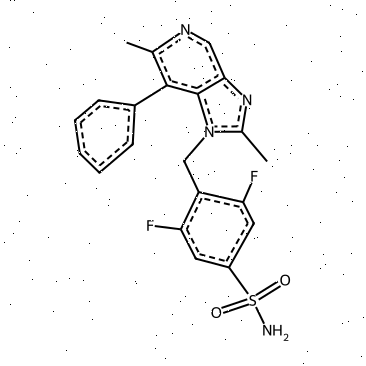 Cc1ncc2nc(C)n(Cc3c(F)cc(S(N)(=O)=O)cc3F)c2c1-c1ccccc1